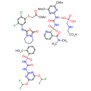 COC(=O)CSc1cc(/N=c2\sc(=O)n3n2CCCC3)c(F)cc1Cl.COc1cc(OC)nc(NC(=O)NS(=O)(=O)c2ncccc2C(=O)N(C)C)n1.O=C(Nc1nc(OC(F)F)cc(OC(F)F)n1)NS(=O)(=O)c1ccccc1C(=O)O.O=C(O)CNCP(=O)(O)O